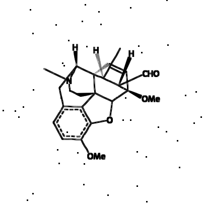 COc1ccc2c3c1OC1[C@@]4(OC)C=C[C@@]5([C@@H](C)[C@@H]4C=O)[C@@H](C2)N(C)CC[C@]315